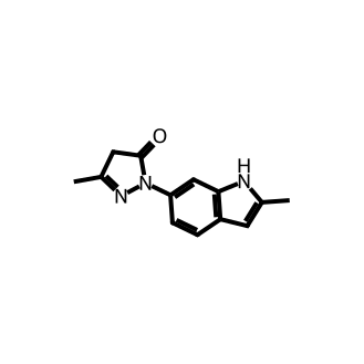 CC1=NN(c2ccc3cc(C)[nH]c3c2)C(=O)C1